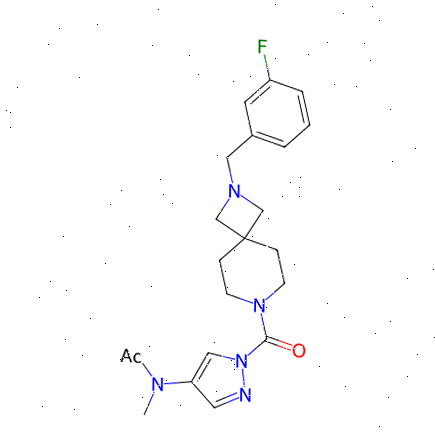 CC(=O)N(C)c1cnn(C(=O)N2CCC3(CC2)CN(Cc2cccc(F)c2)C3)c1